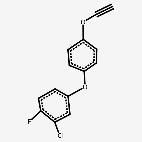 C#COc1ccc(Oc2ccc(F)c(Cl)c2)cc1